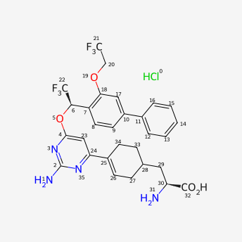 Cl.Nc1nc(O[C@H](c2ccc(-c3ccccc3)cc2OCC(F)(F)F)C(F)(F)F)cc(C2=CCC(C[C@H](N)C(=O)O)CC2)n1